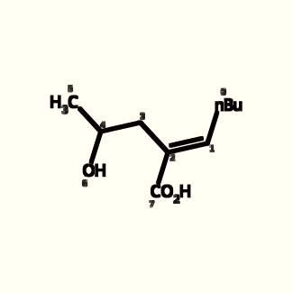 CCCCC=C(CC(C)O)C(=O)O